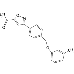 Cc1cccc(OCc2ccc(-c3cc(C(N)=O)on3)cc2)c1